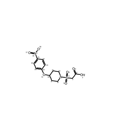 O=C(O)CS(=O)(=O)N1CCC(Oc2ccc([N+](=O)[O-])cc2)CC1